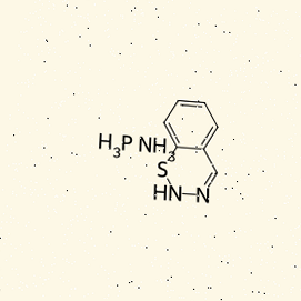 C1=NNSc2ccccc21.N.P